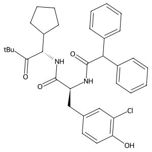 CC(C)(C)C(=O)[C@@H](NC(=O)[C@H](Cc1ccc(O)c(Cl)c1)NC(=O)C(c1ccccc1)c1ccccc1)C1CCCC1